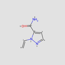 C=Cn1nccc1C(N)=O